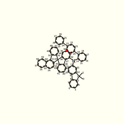 CC1(C)c2ccccc2-c2ccc(N(c3ccccc3-c3ccc(-c4ccccc4)cc3)c3cccc4c3-c3ccccc3C43c4ccccc4-c4c3ccc3ccccc43)cc21